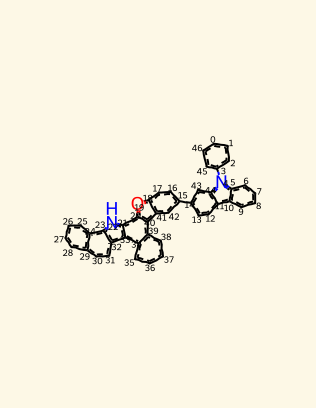 c1ccc(-n2c3ccccc3c3ccc(-c4ccc5oc6c7[nH]c8c9ccccc9ccc8c7c7ccccc7c6c5c4)cc32)cc1